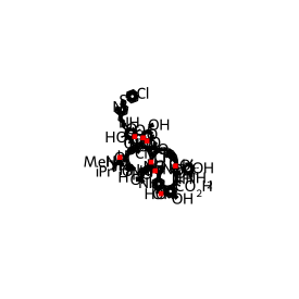 CN[C@H](CC(C)C)C(=O)NC1C(=O)N[C@@H](CC(N)=O)C(=O)N[C@H]2C(=O)N[C@H]3C(=O)N[C@H](C(=O)N[C@@H](C(=O)O)c4cc(O)cc(O)c4-c4cc3ccc4O)[C@H](O[C@H]3C[C@](C)(N)[C@@H](O)[C@H](C)O3)c3ccc(c(Cl)c3)Oc3cc2cc(c3O[C@@H]2O[C@H](CO)[C@@H](O[C@@H]3O[C@H](CNCc4ccc(Sc5ccc(Cl)cc5)nc4)[C@H](O)[C@H](O)[C@H]3O)[C@H](O)[C@H]2O)Oc2ccc(cc2Cl)[C@H]1O